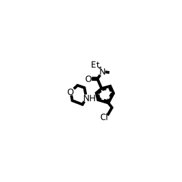 C1COCCN1.CCN(C)C(=O)c1ccc(CCl)cc1